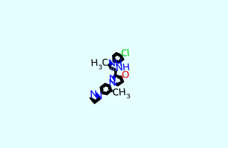 CC(=N)/C=C(\Nc1cccc(Cl)c1)c1nn(-c2ccc(-n3cccn3)cc2C)ccc1=O